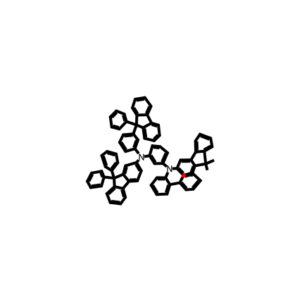 CC1(C)c2ccccc2-c2cc(N(c3cccc(N(c4cccc(C5(c6ccccc6)c6ccccc6-c6ccccc65)c4)c4ccc5c(c4)C(c4ccccc4)(c4ccccc4)c4ccccc4-5)c3)c3ccccc3-c3ccccc3)ccc21